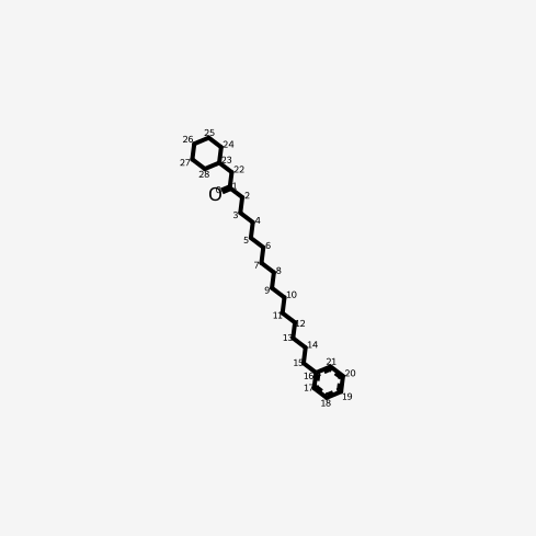 O=C(CCCCCCCCCCCCCCc1ccccc1)CC1CCCCC1